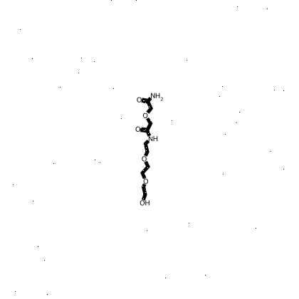 NC(=O)COCC(=O)NCCOCCOCCO